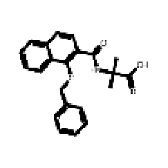 CC(C)(NC(=O)c1ccc2ccccc2c1OCc1ccccc1)C(=O)O